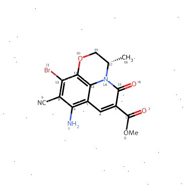 COC(=O)c1cc2c(N)c(C#N)c(Br)c3c2n(c1=O)[C@@H](C)CO3